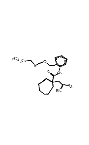 CCC(CC)CC1(C(=O)Nc2ccccc2COSCC(=O)O)CCCCC1